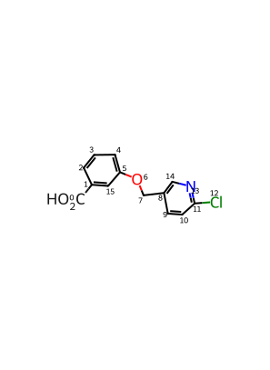 O=C(O)c1cccc(OCc2ccc(Cl)nc2)c1